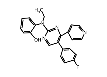 CCN(c1ncc(-c2ccc(F)cc2)c(-c2ccncc2)n1)c1ccccc1O